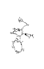 Cn1c(CO)nnc1-c1ccccc1